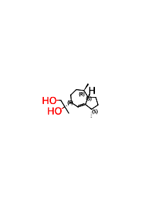 C[C@@H]1CC[C@@H](C(C)(O)CO)C=C2[C@H]1CC[C@@H]2C